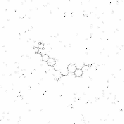 CCOc1cccc2c1CCCC2CN(C)CCc1ccc2c(c1)CN(NS(C)(=O)=O)C2